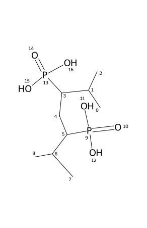 CC(C)C(CC(C(C)C)P(=O)(O)O)P(=O)(O)O